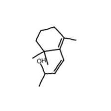 CC1=C(/C=C\C(C)O)C(C)(C)CCC1